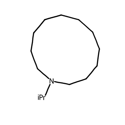 CC(C)N1CCCCCCCCCCC1